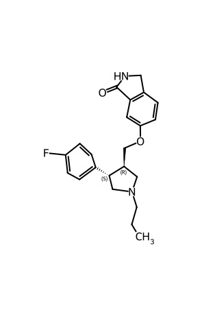 CCCN1C[C@H](COc2ccc3c(c2)C(=O)NC3)[C@@H](c2ccc(F)cc2)C1